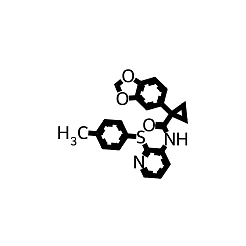 Cc1ccc(Sc2ncccc2NC(=O)C2(c3ccc4c(c3)OCO4)CC2)cc1